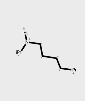 CCN(CCCCC(C)C)C(C)C